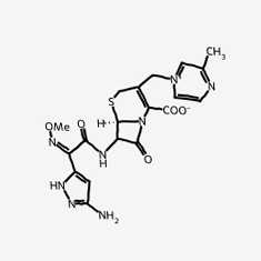 CO/N=C(\C(=O)NC1C(=O)N2C(C(=O)[O-])=C(C[n+]3ccnc(C)c3)CS[C@H]12)c1cc(N)n[nH]1